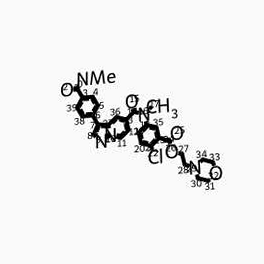 CNC(=O)c1ccc(-c2cnn3ccc(C(=O)N(C)c4ccc(Cl)c(C(=O)OCCN5CCOCC5)c4)cc23)cc1